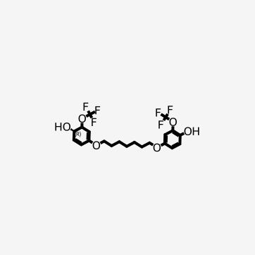 Oc1ccc(OCCCCCCCOC2=CC(OC(F)(F)F)[C@H](O)C=C2)cc1OC(F)(F)F